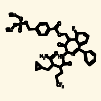 CC(C)(C)OP(=O)(OCc1ccc(C(=O)OCN2C(=O)C(NC(=O)C(CCC(F)(F)F)C(CC3CC3)C(N)=O)N=C(c3ccccc3)c3cccc(F)c32)cc1)OC(C)(C)C